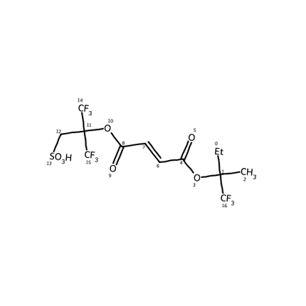 CCC(C)(OC(=O)/C=C/C(=O)OC(CS(=O)(=O)O)(C(F)(F)F)C(F)(F)F)C(F)(F)F